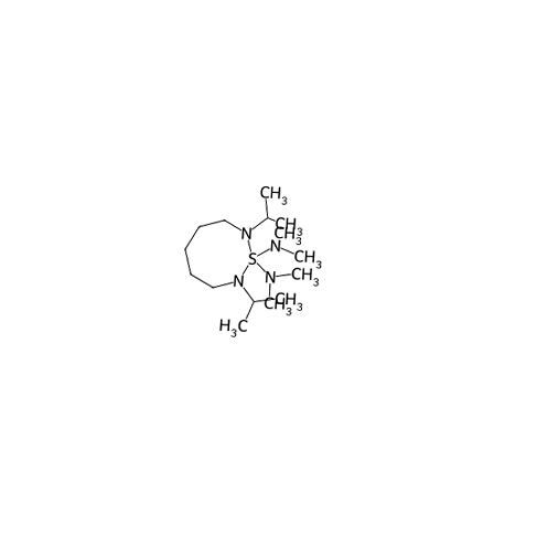 CC(C)N1CCCCCN(C(C)C)S1(N(C)C)N(C)C